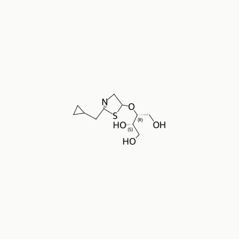 OC[C@H](O)[C@@H](CO)OC1CN=C(CC2CC2)S1